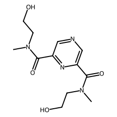 CN(CCO)C(=O)c1cncc(C(=O)N(C)CCO)n1